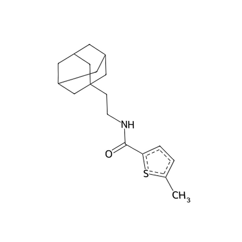 Cc1ccc(C(=O)NCCC23CC4CC(CC(C4)C2)C3)s1